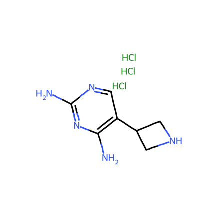 Cl.Cl.Cl.Nc1ncc(C2CNC2)c(N)n1